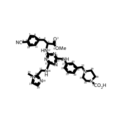 COC(=O)C(Cc1ccc(C#N)cc1)Nc1nc(NCc2nccn2C)nc(Nc2cccc(CN3CCN(C(=O)O)CC3)c2)n1